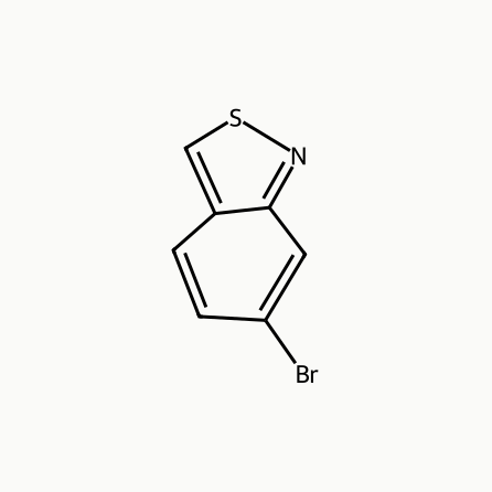 Brc1ccc2csnc2c1